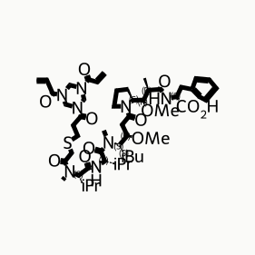 C=CC(=O)N1CN(C(=O)C=C)CN(C(=O)CCSCC(=O)N(C)[C@H](C(=O)N[C@H](C(=O)N(C)[C@@H]([C@@H](C)CC)[C@@H](CC(=O)N2CCC[C@H]2[C@H](OC)[C@@H](C)C(=O)N[C@@H](Cc2ccccc2)C(=O)O)OC)C(C)C)C(C)C)C1